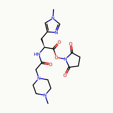 CN1CCN(CC(=O)N[C@@H](Cc2cn(C)cn2)C(=O)ON2C(=O)CCC2=O)CC1